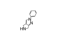 c1ccc(-n2cc3c(n2)CNC3)cc1